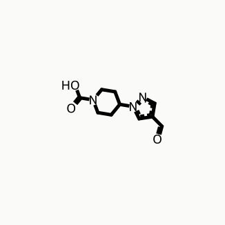 O=Cc1cnn(C2CCN(C(=O)O)CC2)c1